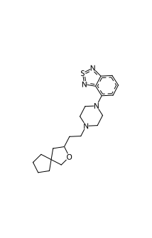 c1cc(N2CCN(CCC3CC4(CCCC4)CO3)CC2)c2nsnc2c1